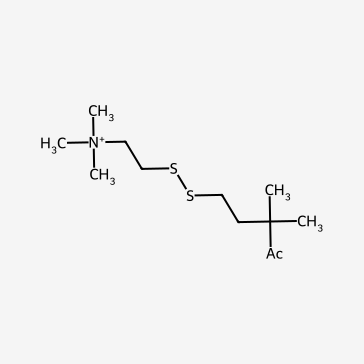 CC(=O)C(C)(C)CCSSCC[N+](C)(C)C